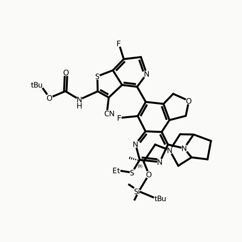 CCSc1nc(N2C3CCC2CN(C[C@@H](C)O[Si](C)(C)C(C)(C)C)C3)c2c3c(c(-c4ncc(F)c5sc(NC(=O)OC(C)(C)C)c(C#N)c45)c(F)c2n1)COC3